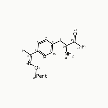 CCCC(C)O/N=C(/C)c1ccc(CC(N)C(=O)C(C)C)cc1